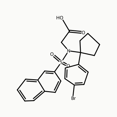 O=C(O)CN(C1(c2ccc(Br)cc2)CCCC1)S(=O)(=O)c1ccc2ccccc2c1